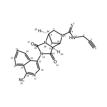 C#CCNC(=S)N1C[C@H]2CC1[C@H]1C(=O)N(c3cnc(C#N)c4ccccc34)C(=O)N21